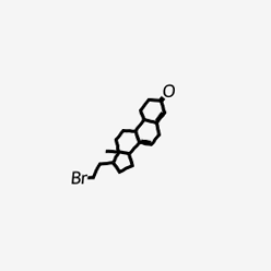 CC12CCC3C(=CCC4=CC(=O)CCC43)C1CCC2CCBr